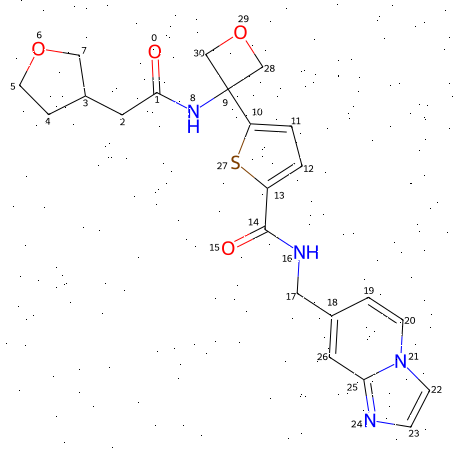 O=C(CC1CCOC1)NC1(c2ccc(C(=O)NCc3ccn4ccnc4c3)s2)COC1